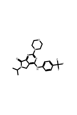 CC(C)N1Cc2c(Nc3ccc(C(F)(F)F)cc3)nc(N3CCOCC3)nc2C1=O